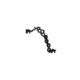 CCCOCCOCCOCCO[C@H]1CCC2(C)C(=CCC3C2CCC2(C)C(C(C)CCCC(C)C)CCC32)C1